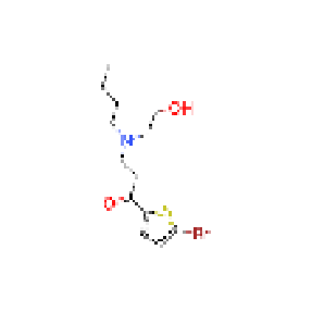 CCCCN(CCO)CCC(=O)c1ccc(Br)s1